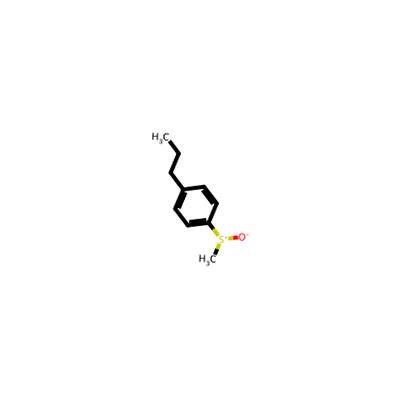 CCCc1ccc([S+](C)[O-])cc1